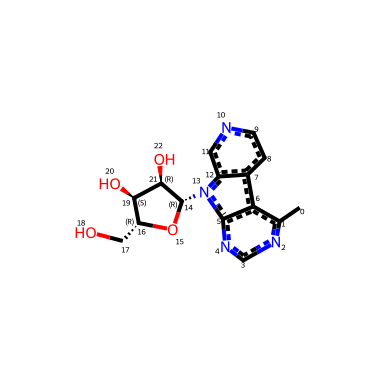 Cc1ncnc2c1c1ccncc1n2[C@@H]1O[C@H](CO)[C@@H](O)[C@H]1O